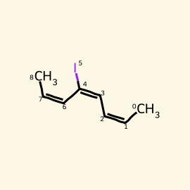 C\C=C/C=C(I)\C=C/C